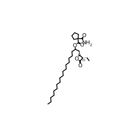 CCCCCCCCCCCCCCCCCC(C[C@@H]1OC(=O)[C@H]1CC)OC(=O)C1(C(N)=O)CCCC1